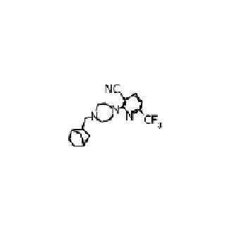 N#Cc1ccc(C(F)(F)F)nc1N1CCN(CC2CC3CCC2C3)CC1